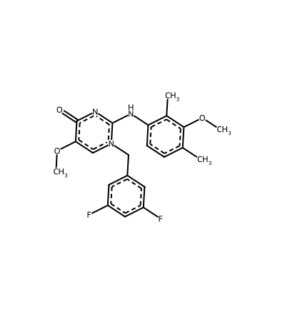 COc1c(C)ccc(Nc2nc(=O)c(OC)cn2Cc2cc(F)cc(F)c2)c1C